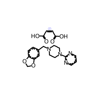 O=C(O)/C=C\C(=O)O.c1cnc(N2CCN(Cc3ccc4c(c3)OCO4)CC2)nc1